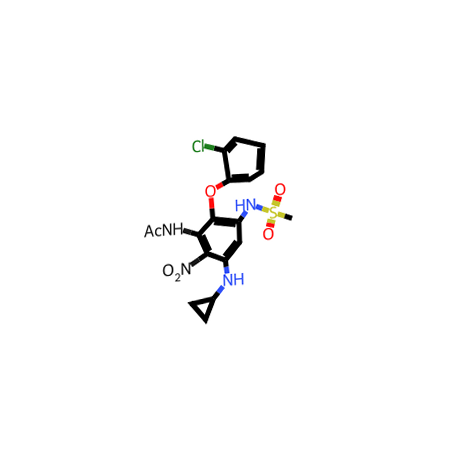 CC(=O)Nc1c(Oc2ccccc2Cl)c(NS(C)(=O)=O)cc(NC2CC2)c1[N+](=O)[O-]